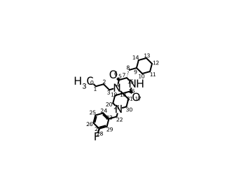 CCCCN1C(=O)[C@H](CC2CCCCC2)NC(=O)C12CCN(Cc1cccc(F)c1)CC2